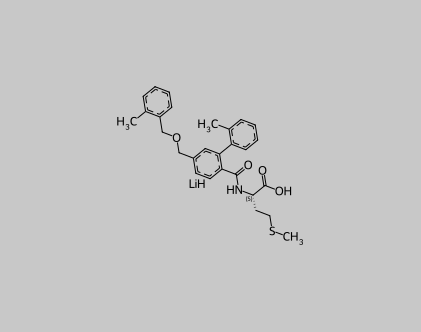 CSCC[C@H](NC(=O)c1ccc(COCc2ccccc2C)cc1-c1ccccc1C)C(=O)O.[LiH]